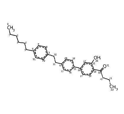 CCCCCCc1ccc(CCc2ccc(-c3ccc(C(=O)CCC)c(O)c3)cc2)cc1